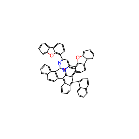 c1ccc2c(-c3c4ccccc4c(-c4ccc5ccccc5c4-c4nc(-c5cccc6c5oc5ccccc56)cc(-c5cccc6c5oc5ccccc56)n4)c4ccccc34)cccc2c1